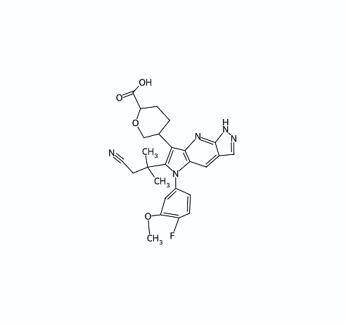 COc1cc(-n2c(C(C)(C)CC#N)c(C3CCC(C(=O)O)OC3)c3nc4[nH]ncc4cc32)ccc1F